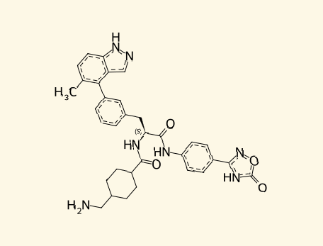 Cc1ccc2[nH]ncc2c1-c1cccc(C[C@H](NC(=O)C2CCC(CN)CC2)C(=O)Nc2ccc(-c3noc(=O)[nH]3)cc2)c1